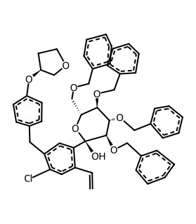 C=Cc1cc(Cl)c(Cc2ccc(O[C@H]3CCOC3)cc2)cc1[C@]1(O)O[C@H](COCc2ccccc2)[C@@H](OCc2ccccc2)[C@H](OCc2ccccc2)[C@H]1OCc1ccccc1